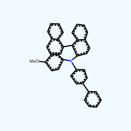 COc1ccc(N(c2ccc(-c3ccccc3)cc2)c2ccc3ccccc3c2-c2cccc3ccccc23)cc1